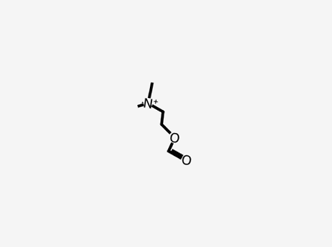 C[N+](C)CCOC=O